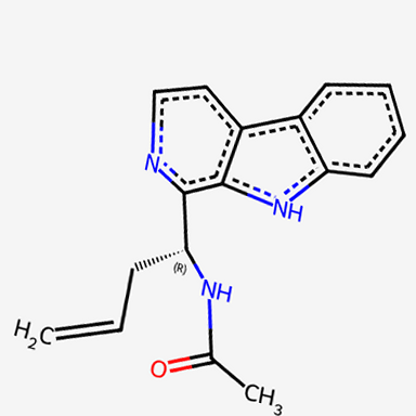 C=CC[C@@H](NC(C)=O)c1nccc2c1[nH]c1ccccc12